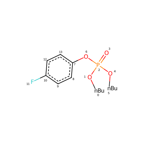 CCCCOP(=O)(OCCCC)Oc1ccc(F)cc1